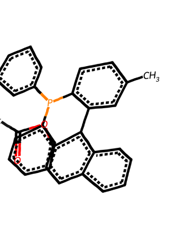 CCC(=O)Oc1ccc2ccccc2c1-c1cc(C)ccc1P(c1ccccc1)c1ccccc1